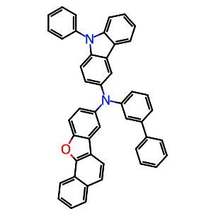 c1ccc(-c2cccc(N(c3ccc4oc5c6ccccc6ccc5c4c3)c3ccc4c(c3)c3ccccc3n4-c3ccccc3)c2)cc1